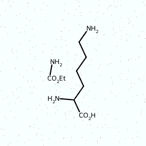 CCOC(N)=O.NCCCCC(N)C(=O)O